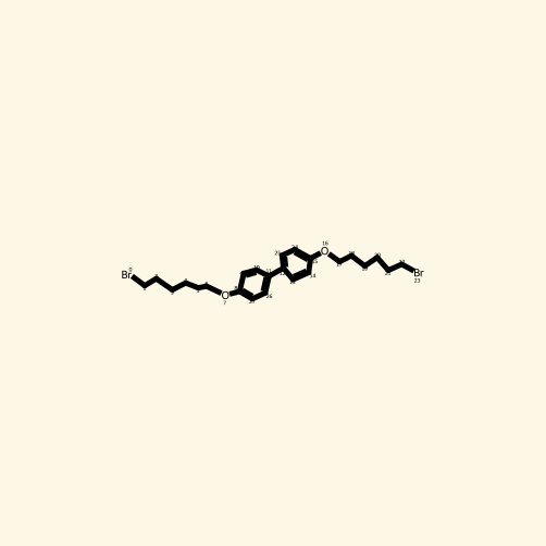 BrCCCCCCOc1ccc(-c2ccc(OCCCCCCBr)cc2)cc1